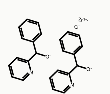 [Cl-].[O-]C(c1ccccc1)c1ccccn1.[O-]C(c1ccccc1)c1ccccn1.[Zr+3]